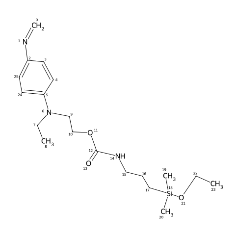 C=Nc1ccc(N(CC)CCOC(=O)NCCC[Si](C)(C)OCC)cc1